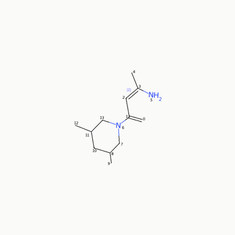 C=C(/C=C(/C)N)N1CC(C)CC(C)C1